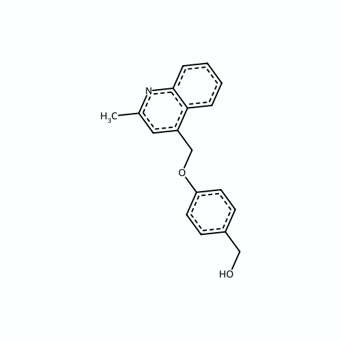 Cc1cc(COc2ccc(CO)cc2)c2ccccc2n1